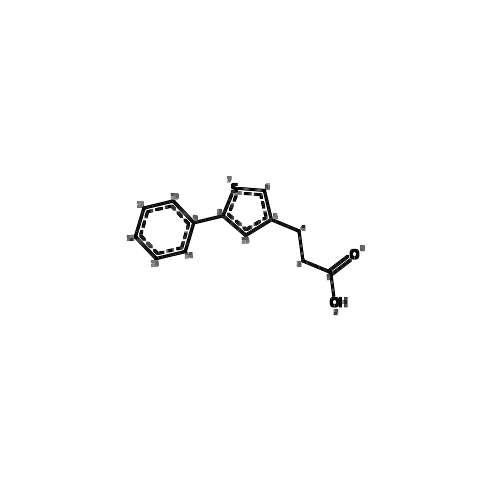 O=C(O)CCc1csc(-c2ccccc2)c1